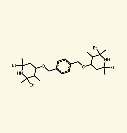 CCC1(C)CC(OCc2ccc(COC3CC(C)(CC)NC(C)(CC)C3C)cc2)C(C)C(C)(CC)N1